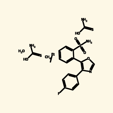 C.CCC.NC(O)=S.NC(O)=S.NS(=O)(=O)c1ccccc1-c1ocnc1-c1ccc(F)cc1.O